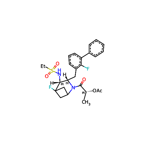 CCS(=O)(=O)N[C@@H]1[C@H](Cc2cccc(-c3ccccc3)c2F)N(C(=O)[C@@H](C)OC(C)=O)C2CC1(F)C2